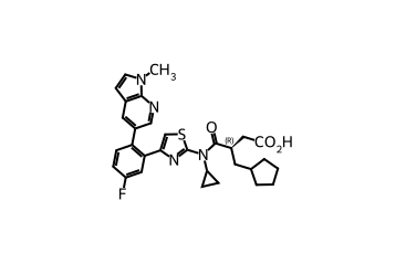 Cn1ccc2cc(-c3ccc(F)cc3-c3csc(N(C(=O)[C@@H](CC(=O)O)CC4CCCC4)C4CC4)n3)cnc21